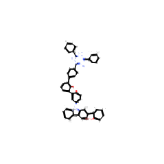 c1ccc(-c2nc(-c3ccccc3)nc(-c3ccc(-c4cccc5c4oc4ccc(-n6c7ccccc7c7cc8oc9ccccc9c8cc76)cc45)cc3)n2)cc1